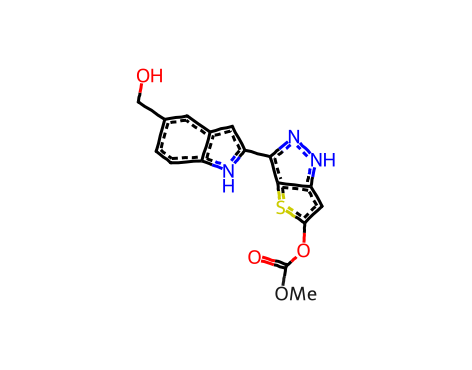 COC(=O)Oc1cc2[nH]nc(-c3cc4cc(CO)ccc4[nH]3)c2s1